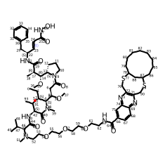 CC[C@H](C)[C@@H]([C@@H](CC(=O)N1CCC[C@H]1[C@H](OC)[C@@H](C)C(=O)N[C@H](/C=C/C(=O)NO)Cc1ccccc1)OC)N(C)C(=O)[C@@H](NC(=O)[C@H](C(C)C)N(C)CCOCCOCCOCCNC(=O)c1ccc2nc3c(nc2c1)CSC1CCCCCCCCC(C1)SC3)C(C)C